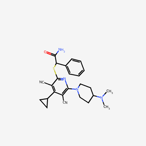 CN(C)C1CCN(c2nc(SC(C(N)=O)c3ccccc3)c(C#N)c(C3CC3)c2C#N)CC1